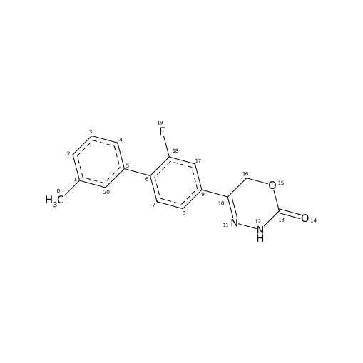 Cc1cccc(-c2ccc(C3=NNC(=O)OC3)cc2F)c1